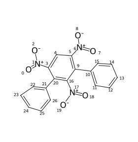 O=[N+]([O-])c1cc([N+](=O)[O-])c(-c2ccccc2)c([N+](=O)[O-])c1-c1ccccc1